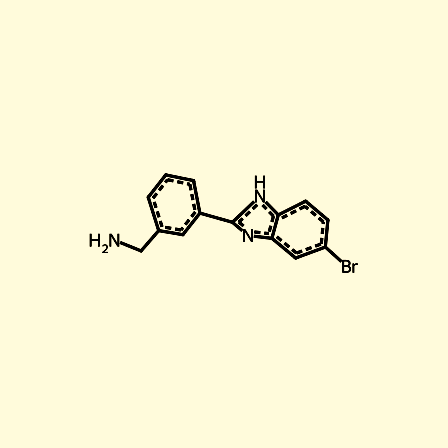 NCc1cccc(-c2nc3cc(Br)ccc3[nH]2)c1